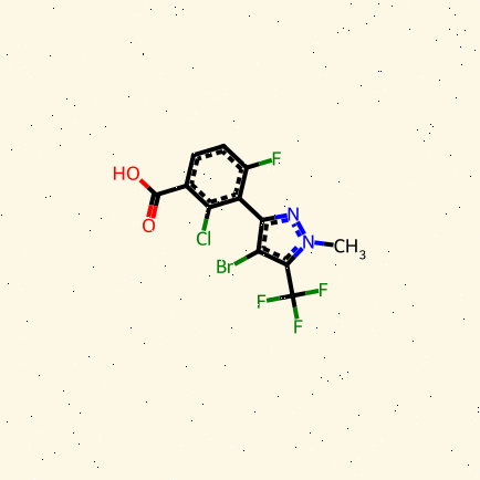 Cn1nc(-c2c(F)ccc(C(=O)O)c2Cl)c(Br)c1C(F)(F)F